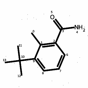 Cc1c(C(N)=O)cccc1C(C)(C)C